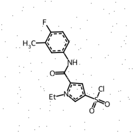 CCn1cc(S(=O)(=O)Cl)cc1C(=O)Nc1ccc(F)c(C)c1